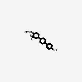 CCCCCC1CCC(C2CCC(c3ccc(CCC)cc3)CC2)CC1(F)F